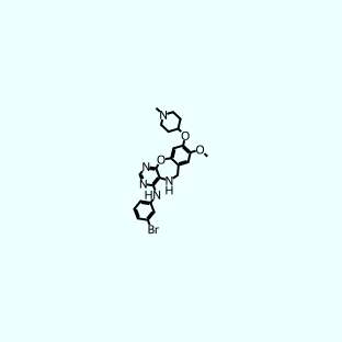 COc1cc2c(cc1OC1CCN(C)CC1)Oc1ncnc(Nc3cccc(Br)c3)c1NC2